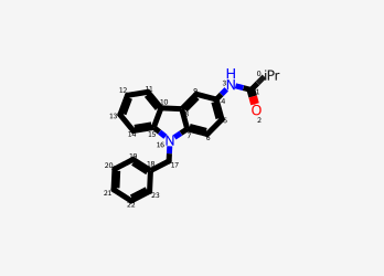 CC(C)C(=O)Nc1ccc2c(c1)c1ccccc1n2Cc1ccccc1